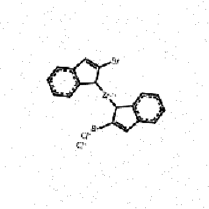 BrC1=Cc2ccccc2[CH]1[Zr+2][CH]1C(Br)=Cc2ccccc21.[Cl-].[Cl-]